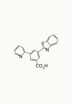 O=C(O)c1cc(-c2ccccn2)cc(-c2nc3ccccc3s2)c1